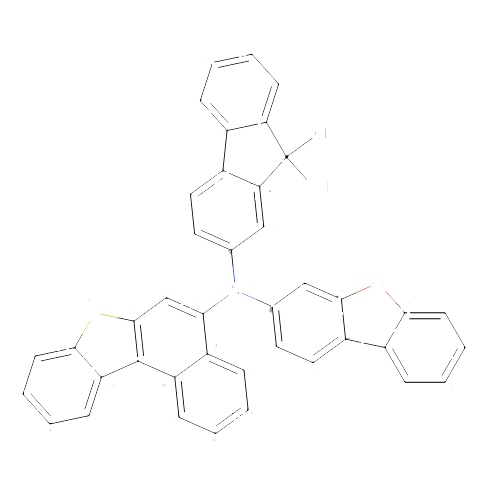 CC1(C)c2ccccc2-c2ccc(N(c3ccc4c(c3)oc3ccccc34)c3cc4sc5ccccc5c4c4ccccc34)cc21